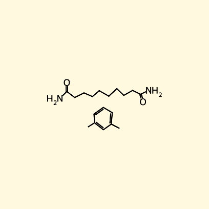 Cc1cccc(C)c1.NC(=O)CCCCCCCCC(N)=O